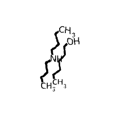 CCCCCCO.CCCCNCCCC